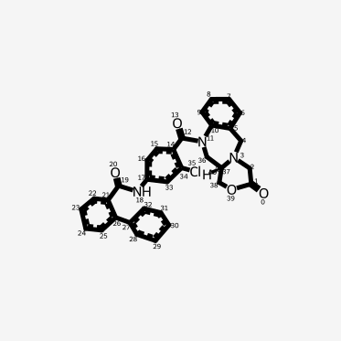 O=C1CN2Cc3ccccc3N(C(=O)c3ccc(NC(=O)c4ccccc4-c4ccccc4)cc3Cl)C[C@H]2CO1